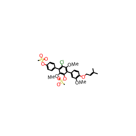 COc1cc(-c2c(OC)c(Cl)c(-c3ccc(OS(C)(=O)=O)cc3)c(OC)c2OS(C)(=O)=O)ccc1OCC=C(C)C